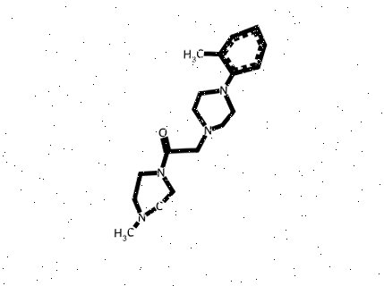 Cc1ccccc1N1CCN(CC(=O)N2CCN(C)CC2)CC1